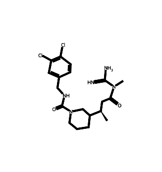 C[C@H](CC(=O)N(C)C(=N)N)C1CCCN(C(=O)NCc2ccc(Cl)c(Cl)c2)C1